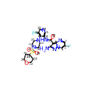 Nc1nn2cc(F)cnc2c1C(=O)Nc1cncc(F)c1N1CCN(S(=O)(=O)C2CCOCC2)CC1